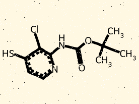 CC(C)(C)OC(=O)Nc1nccc(S)c1Cl